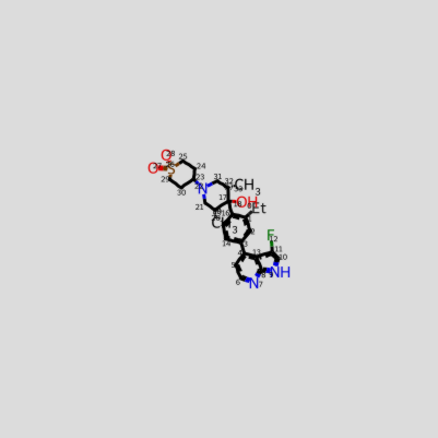 CCc1cc(-c2ccnc3[nH]cc(F)c23)ccc1C1(O)[C@H](C)CN(C2CCS(=O)(=O)CC2)C[C@@H]1C